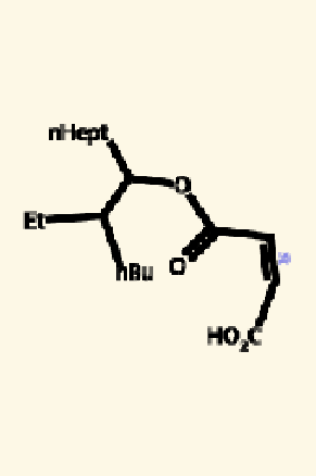 CCCCCCCC(OC(=O)/C=C\C(=O)O)C(CC)CCCC